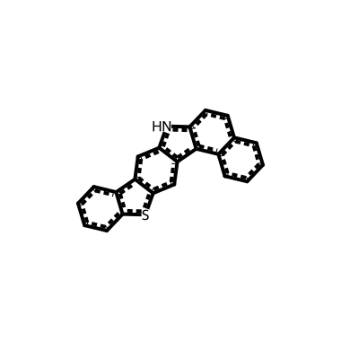 c1ccc2c(c1)ccc1[nH]c3cc4c(cc3c12)sc1ccccc14